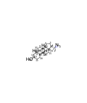 C/N=C(\C)[C@H]1CC[C@H]2[C@@H]3CC[C@@H]4C[C@@H](O)CC[C@]4(C)[C@H]3CC[C@]12C